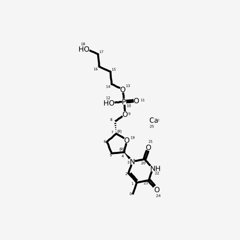 Cc1cn([C@H]2CC[C@H](COP(=O)(O)OCCCCO)O2)c(=O)[nH]c1=O.[Ca]